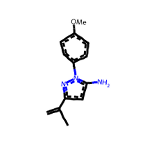 C=C(C)c1cc(N)n(-c2ccc(OC)cc2)n1